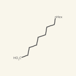 C[CH]CCCCCCCCCCCC(=O)O